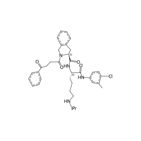 Cc1cc(NC(=O)[C@H](CCCCNC(C)C)NC(=O)[C@@H]2Cc3ccccc3CN2C(=O)CCC(=O)c2ccccc2)ccc1Cl